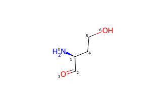 N[C@H](C=O)CCO